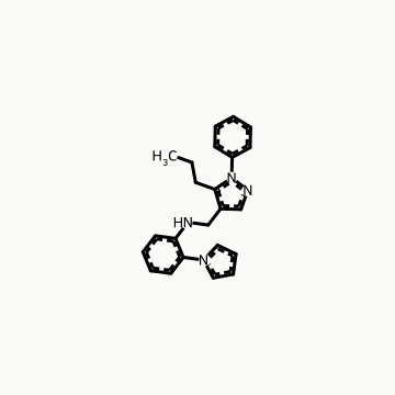 CCCc1c(CNc2ccccc2-n2cccc2)cnn1-c1ccccc1